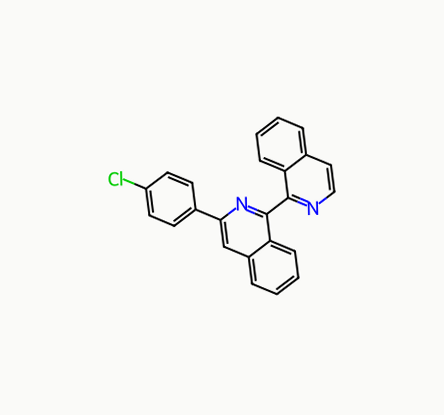 Clc1ccc(-c2cc3ccccc3c(-c3nccc4ccccc34)n2)cc1